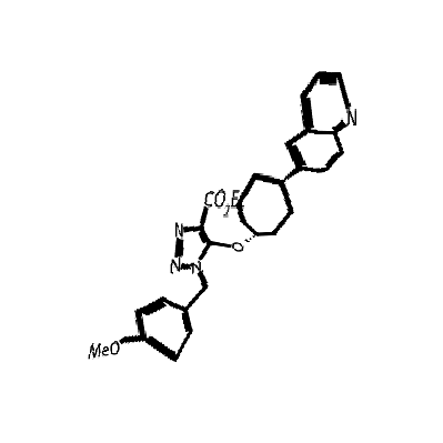 CCOC(=O)c1nnn(Cc2ccc(OC)cc2)c1O[C@H]1CC[C@H](c2ccc3ncccc3c2)CC1